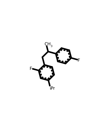 CC(C)c1ccc(CC(C)c2ccc(F)cc2)c(F)c1